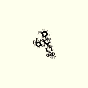 CC(C)S(=O)(=O)N1CCN(c2cnn(-c3cccc(F)c3)c(=O)c2OC2CCC(F)(F)C2)CC1